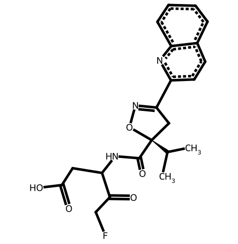 CC(C)[C@]1(C(=O)NC(CC(=O)O)C(=O)CF)CC(c2ccc3ccccc3n2)=NO1